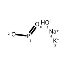 O=P[O-].[K+].[Na+].[OH-]